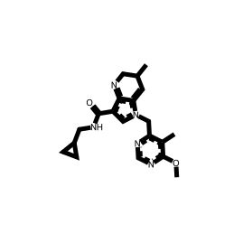 COc1ncnc(Cn2cc(C(=O)NCC3CC3)c3c2=CC(C)CN=3)c1C